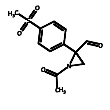 CC(=O)N1CC1(C=O)c1ccc(S(C)(=O)=O)cc1